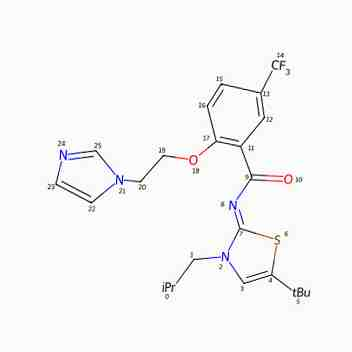 CC(C)Cn1cc(C(C)(C)C)sc1=NC(=O)c1cc(C(F)(F)F)ccc1OCCn1ccnc1